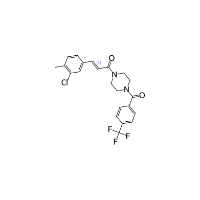 Cc1ccc(/C=C/C(=O)N2CCN(C(=O)c3ccc(C(F)(F)F)cc3)CC2)cc1Cl